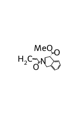 C=CC(=O)N1Cc2ccccc2[C@@H](C(=O)OC)C1